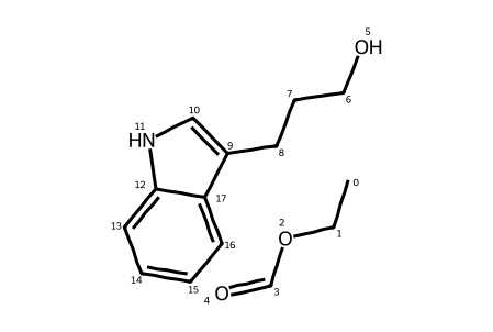 CCOC=O.OCCCc1c[nH]c2ccccc12